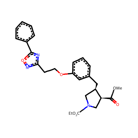 CCOC(=O)N1C[C@@H](Cc2cccc(OCCc3noc(-c4ccccc4)n3)c2)[C@@H](C(=O)OC)C1